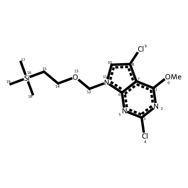 COc1nc(Cl)nc2c1c(Cl)cn2COCC[Si](C)(C)C